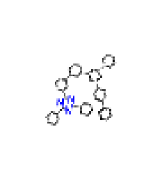 c1ccc(-c2ccc(-c3cc(-c4ccccc4)cc(-c4cccc(-c5cccc(-c6nc(-c7ccccc7)nc(-c7ccccc7)n6)c5)c4)c3)cc2)cc1